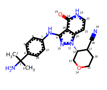 CC(C)(N)c1ccc(Nc2nn([C@H]3COCCC3C#N)c3cc[nH]c(=O)c23)cc1